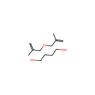 C=C(C)COCC(=C)C.OCCCCO